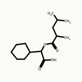 CC(C)CC(C)C(=O)OC(C(=O)O)C1CCCCC1